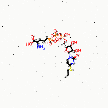 CCCSc1ccn([C@@H]2O[C@H](COP(=O)(O)OP(=O)(O)OP(=O)(O)CCCC(N)C(=O)O)C(O)[C@@H]2O)c(=O)n1